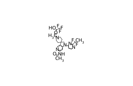 CC(=O)Nc1cc2c(cn1)C1(CCN(C)CC1)CN2c1ccnc(C(C)(F)F)n1.O=C(O)C(F)(F)F